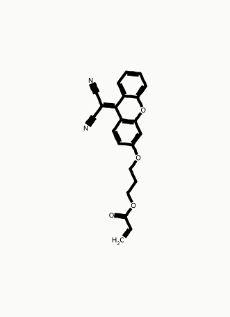 C=CC(=O)OCCCOc1ccc2c(c1)Oc1ccccc1C2=C(C#N)C#N